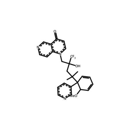 COC1C=CC=CC1(c1cccnc1)C(C)(C)CC(O)(Cn1ccc(=O)c2cnccc21)C(F)(F)F